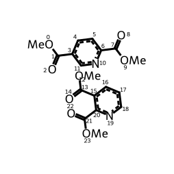 COC(=O)c1ccc(C(=O)OC)nc1.COC(=O)c1cccnc1C(=O)OC